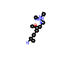 N#Cc1ccc(-c2ccc(-c3ccc4c5ccc(-c6cccc(C7N=C(c8ccccc8)N=C(c8ccccc8)N7)n6)cc5c5oc6ccccc6c5c4c3)cc2)c2ccccc12